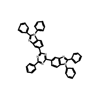 c1ccc(-c2nc(-c3ccc4c(c3)nc(-c3ccccc3)n4-c3ccccc3)nc(-c3ccc4c(c3)nc(-c3ccccc3)n4-c3ccccc3)n2)cc1